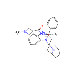 Cc1nc2ccccc2n1C1CC2CCC(C1)N2CC[C@H](NC(=O)C1CN(C)C1)c1ccccc1